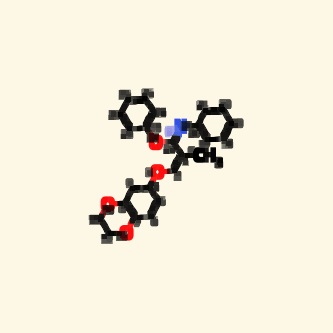 CC(=COc1ccc2c(c1)OCCO2)/C(=N\c1ccccc1)Oc1ccccc1